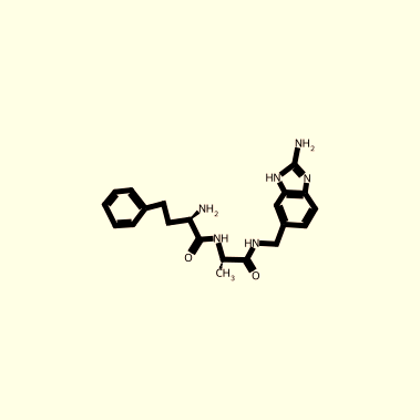 C[C@H](NC(=O)[C@H](N)CCc1ccccc1)C(=O)NCc1ccc2nc(N)[nH]c2c1